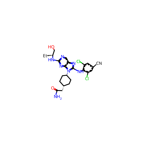 CC[C@@H](CO)Nc1ncc2nc(Nc3c(Cl)cc(C#N)cc3Cl)n([C@H]3CC[C@@H](CC(N)=O)CC3)c2n1